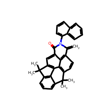 C=c1c2ccc3c4c5c(cc(c(=O)n1-c1cccc6ccccc16)c42)C(C)(C)c1cccc(c1-5)C3(C)C